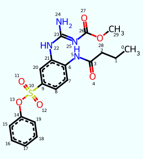 CCCC(=O)Nc1ccc(S(=O)(=O)Oc2ccccc2)cc1NC(N)=NC(=O)OC